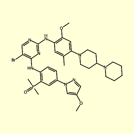 COc1cnn(-c2ccc(Nc3nc(Nc4cc(C)c(N5CCC(N6CCCCC6)CC5)cc4OC)ncc3Br)c(P(C)(C)=O)c2)c1